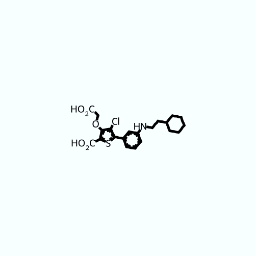 O=C(O)COc1c(C(=O)O)sc(-c2cccc(NCCC3CCCCC3)c2)c1Cl